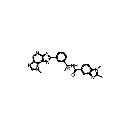 Cc1nc2cc(C(=O)N[C@@H](C)c3cccc(-c4nc5c(ncc6ncn(C)c65)s4)c3)ccc2n1C